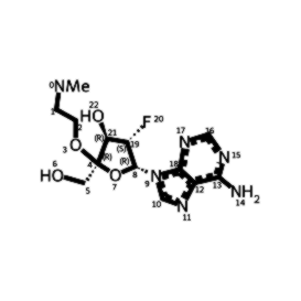 CNCCO[C@]1(CO)O[C@@H](n2cnc3c(N)ncnc32)[C@@H](F)[C@@H]1O